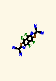 N#CC(C#N)=c1nc2c(F)c3c(F)c4sc(=C(C#N)C#N)nc4c(F)c3c(F)c2s1